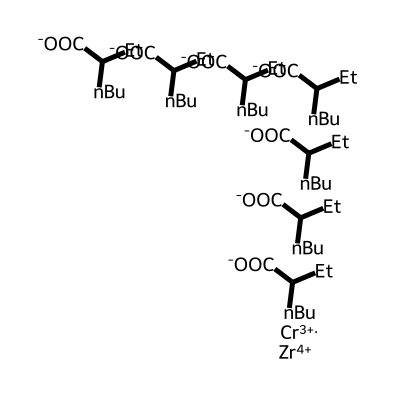 CCCCC(CC)C(=O)[O-].CCCCC(CC)C(=O)[O-].CCCCC(CC)C(=O)[O-].CCCCC(CC)C(=O)[O-].CCCCC(CC)C(=O)[O-].CCCCC(CC)C(=O)[O-].CCCCC(CC)C(=O)[O-].[Cr+3].[Zr+4]